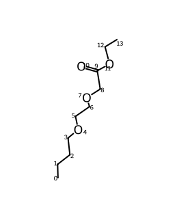 CCCCOCCOCC(=O)OCC